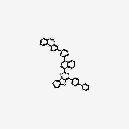 c1ccc(-c2ccc(-c3nc(-c4ccc(-c5cccc(-c6ccc7c(c6)ncc6ccccc67)c5)c5ccccc45)nc4c3sc3ccccc34)cc2)cc1